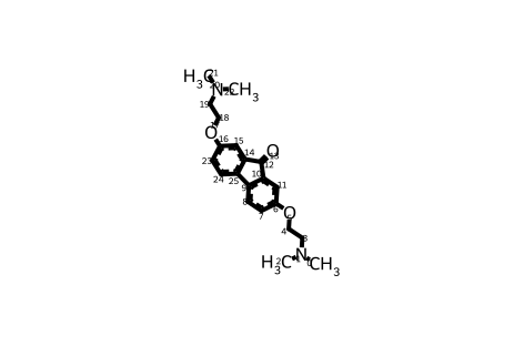 CN(C)CCOc1ccc2c(c1)C(=O)c1cc(OCCN(C)C)ccc1-2